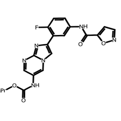 CC(C)OC(=O)Nc1cnc2nc(-c3cc(NC(=O)c4ccno4)ccc3F)cn2c1